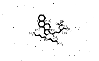 CC(C)[C@@](O)(CC[C@@H](C)[C@H]1CCC2C3C(CC[C@@]21C)[C@@]1(C)CCCC[C@@H]1C[C@H]3O)OS(=O)(=O)O.NCCCCNCCCN